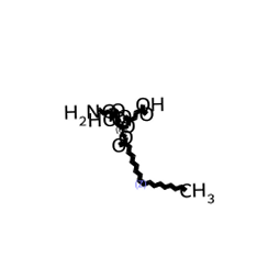 CCCCCCCC/C=C\CCCCCCCC(=O)OC[C@H](COP(=O)(O)OCCN)OC(=O)CCC(=O)O